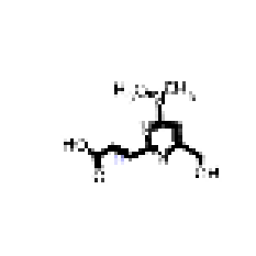 CN(C)c1cc(CO)nc(/C=C/C(=O)O)n1